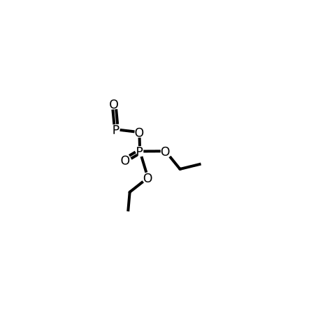 CCOP(=O)(OCC)OP=O